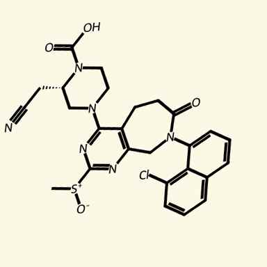 C[S+]([O-])c1nc2c(c(N3CCN(C(=O)O)[C@@H](CC#N)C3)n1)CCC(=O)N(c1cccc3cccc(Cl)c13)C2